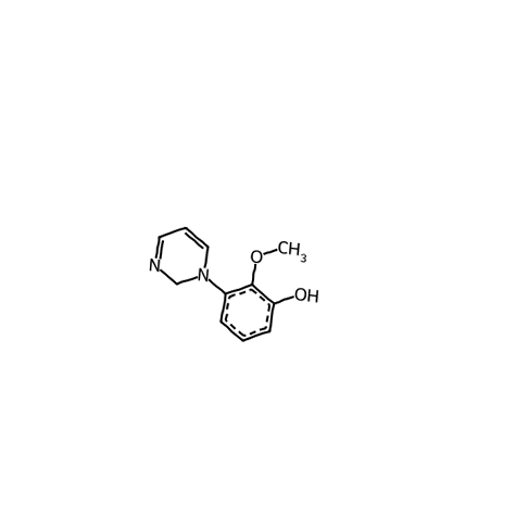 COc1c(O)cccc1N1C=CC=NC1